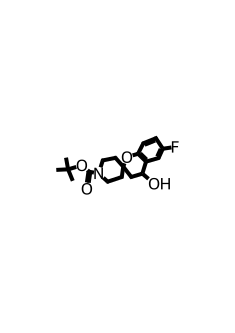 CC(C)(C)OC(=O)N1CCC2(CC1)CC(O)c1cc(F)ccc1O2